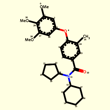 COc1cc(Oc2ccc(C(=O)N(C3CCCCC3)C3CCCC3)cc2C)cc(OC)c1OC